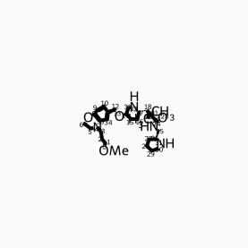 COCCCN1CCOc2ccc(CO[C@@H]3CC[C@@H](CC(C)(C)C(=O)NC[C@@H]4CCCCN4)NC3)cc21